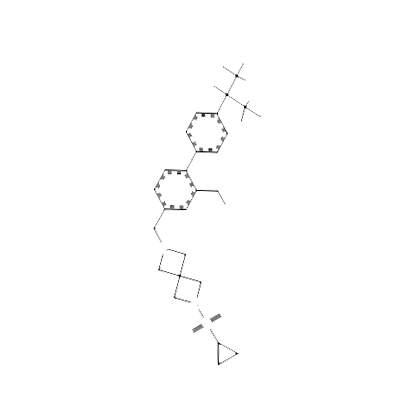 CCc1cc(CN2CC3(C2)CN(S(=O)(=O)C2CC2)C3)ccc1-c1ccc(C(O)(C(F)(F)F)C(F)(F)F)cc1